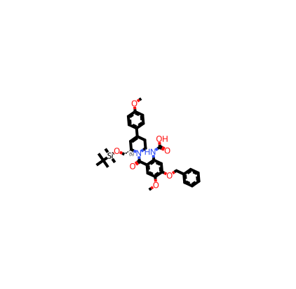 COc1ccc(C2=C[C@@H](CO[Si](C)(C)C(C)(C)C)N(C(=O)c3cc(OC)c(OCc4ccccc4)cc3NC(=O)O)CC2)cc1